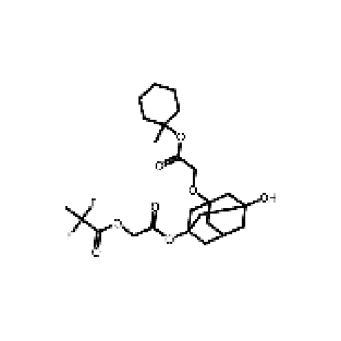 CC1(OC(=O)COC23CC4CC(O)(C2)CC(OC(=O)COC(=O)C(C)(F)F)(C4)C3)CCCCC1